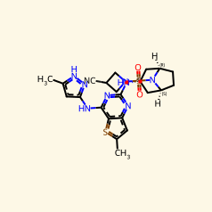 Cc1cc(Nc2nc(N[C@@H]3C[C@H]4CC[C@@H](C3)N4S(=O)(=O)N3CC(C#N)C3)nc3cc(C)sc23)n[nH]1